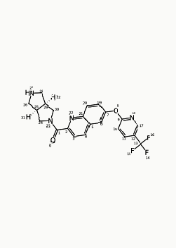 O=C(c1ccc2cc(Oc3ccc(C(F)(F)F)cn3)ccc2n1)N1C[C@H]2CNC[C@H]2C1